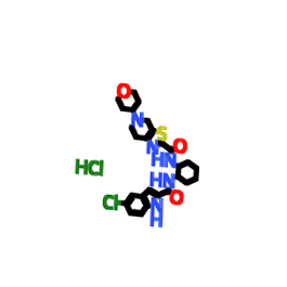 Cl.O=C(N[C@@H]1CCCC[C@@H]1NC(=O)c1nc2c(s1)CN(C1CCOCC1)CC2)c1cc2cc(Cl)ccc2[nH]1